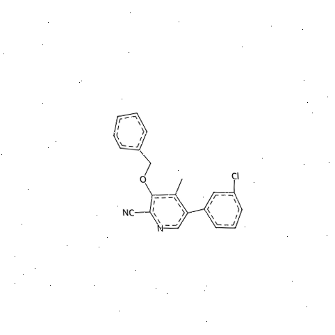 Cc1c(-c2cccc(Cl)c2)cnc(C#N)c1OCc1ccccc1